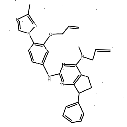 C=CCOc1cc(Nc2nc3c(c(N(C)CC=C)n2)CCC3c2ccccc2)ccc1-n1cnc(C)n1